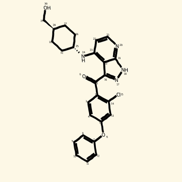 O=C(c1ccc(Oc2ccccc2)cc1Cl)c1n[nH]c2nccc(N[C@H]3CC[C@H](CO)CC3)c12